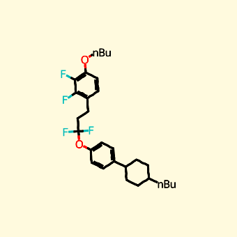 CCCCOc1ccc(CCC(F)(F)Oc2ccc(C3CCC(CCCC)CC3)cc2)c(F)c1F